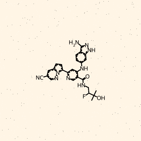 CC(C)(O)C(F)CNC(=O)c1cnc(-c2ccc3cc(C#N)cnn23)cc1Nc1ccc2c(N)n[nH]c2c1